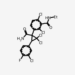 CCNC(=O)c1c(Cl)ccc(C2(C(N)=O)C(c3ccc(F)c(Cl)c3)C2(Cl)Cl)c1Cl